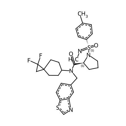 CN=[S@](=O)(c1ccc(C)cc1)N1CCC[C@H]1C(=O)N(Cc1ccc2scnc2c1)C1CCC2(CC1)CC2(F)F